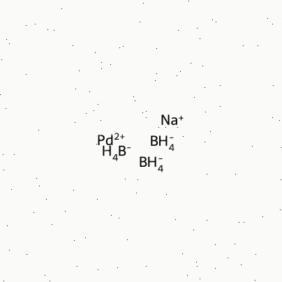 [BH4-].[BH4-].[BH4-].[Na+].[Pd+2]